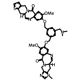 COc1cc2c(cc1OCc1cc(COc3cc4c(cc3OC)C(=O)N3Cc5ncn(C)c5C[C@H]3C=N4)cc(CN(C)C)c1)N=C[C@@H]1Cc3sccc3CN1C2=O